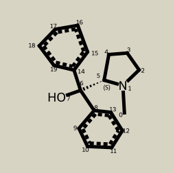 CN1CCC[C@H]1C(O)(c1ccccc1)c1ccccc1